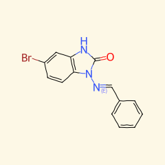 O=c1[nH]c2cc(Br)ccc2n1/N=C/c1ccccc1